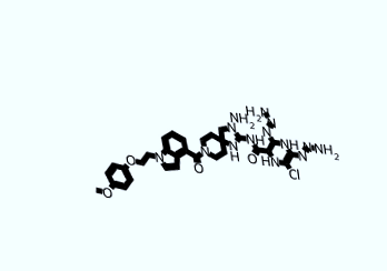 COc1ccc(OCCn2ccc3c(C(=O)N4CCC5(CC4)CN(N)C(NC(=O)C4NC(Cl)=C(N=NN)NC4N=NN)N5)cccc32)cc1